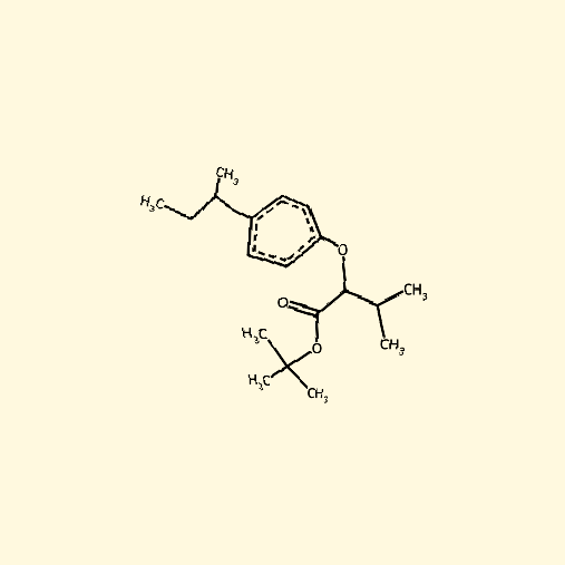 CCC(C)c1ccc(OC(C(=O)OC(C)(C)C)C(C)C)cc1